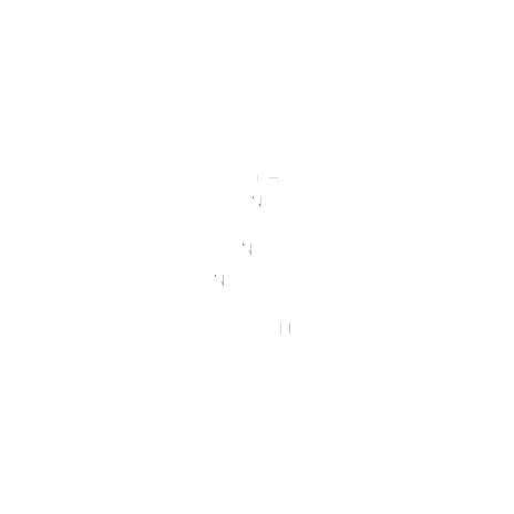 Cc1ccnc(N2CCN(C)CC2)c1